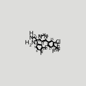 NCC(N)(c1ccc(F)c(F)c1)c1cc(-c2ccc(C(F)(F)F)c(Cl)c2)ncn1